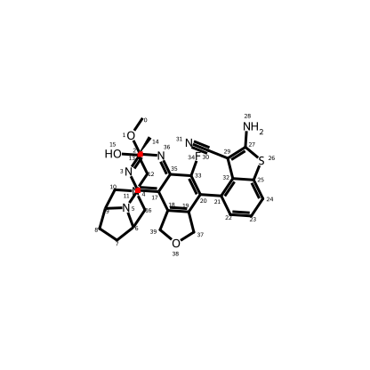 COc1nc(N2C3CCC2CN(C[C@H](C)O)C3)c2c3c(c(-c4cccc5sc(N)c(C#N)c45)c(F)c2n1)COC3